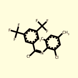 Cc1cc(C)c(/N=C(/Cl)c2cc(C(F)(F)F)cc(C(F)(F)F)c2)c(Cl)c1